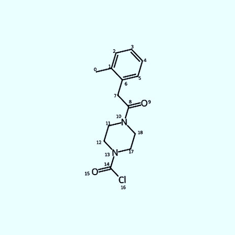 Cc1ccccc1CC(=O)N1CCN(C(=O)Cl)CC1